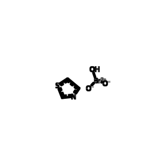 [O-][Br+2]([O-])O.c1cscn1